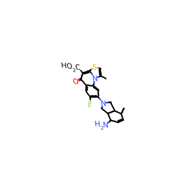 Cc1csc2c(C(=O)O)c(=O)c3cc(F)c(N4CC5C(C)C=CC(N)C5C4)cc3n12